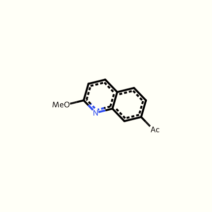 COc1ccc2ccc(C(C)=O)cc2n1